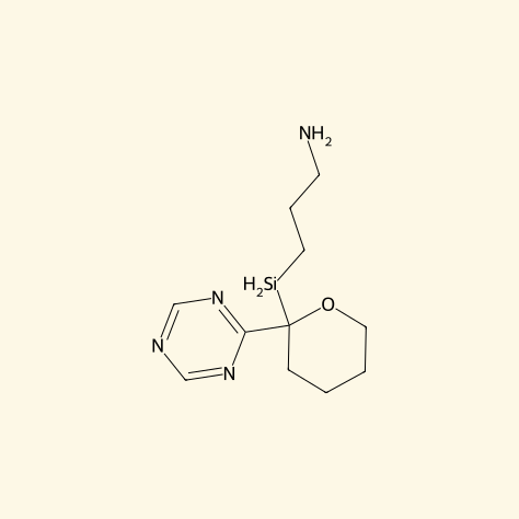 NCCC[SiH2]C1(c2ncncn2)CCCCO1